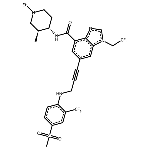 CCN1CC[C@H](NC(=O)c2cc(C#CCNc3ccc(S(C)(=O)=O)cc3C(F)(F)F)cc3c2ncn3CC(F)(F)F)[C@@H](C)C1